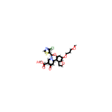 COCCCOc1cc2c(c3c1OCC3)-c1cc(=O)c(C(=O)O)cn1C(c1scnc1Cl)O2